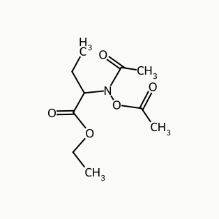 CCOC(=O)C(CC)N(OC(C)=O)C(C)=O